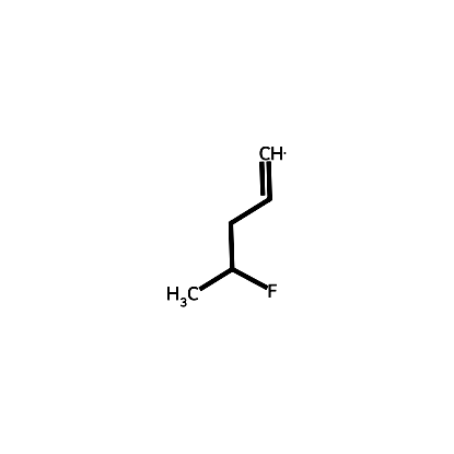 [CH]=CCC(C)F